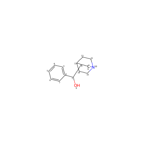 OC(c1ccccc1)C1CN2CCC1CC2